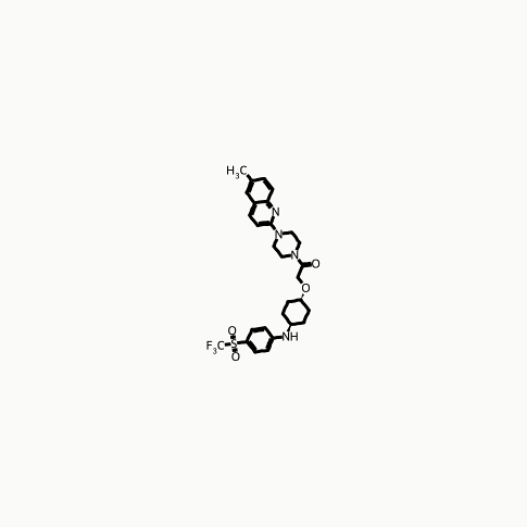 Cc1ccc2nc(N3CCN(C(=O)CO[C@H]4CC[C@H](Nc5ccc(S(=O)(=O)C(F)(F)F)cc5)CC4)CC3)ccc2c1